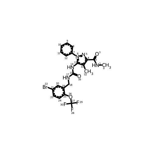 CNC(=O)c1nn(-c2ccccc2)c(NC(=O)NCc2cc(Br)ccc2OC(F)(F)F)c1C